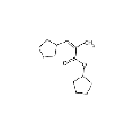 CC(=CC1CCCC1)C(=O)OC1CCCC1